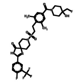 Cc1cc(C(=O)N2CCC(O)(CF)CC2)cc(C)c1CCS(=O)(=O)N1CCC2(CC1)N=C(c1ccc(F)c(C(F)(F)F)c1)NC2=O